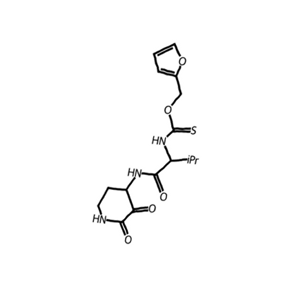 CC(C)C(NC(=S)OCc1ccco1)C(=O)NC1CCNC(=O)C1=O